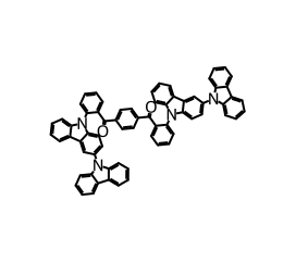 O=C(c1ccc(C(=O)c2ccccc2-n2c3ccccc3c3cc(-n4c5ccccc5c5ccccc54)ccc32)cc1)c1ccccc1-n1c2ccccc2c2cc(-n3c4ccccc4c4ccccc43)ccc21